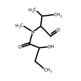 CCC(O)C(=O)N(C)C([C]=O)C(C)C